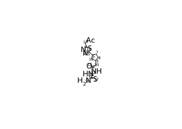 CC(=O)Cc1nnc(C2CCC(CC(=O)NNC(N)=S)C2)s1